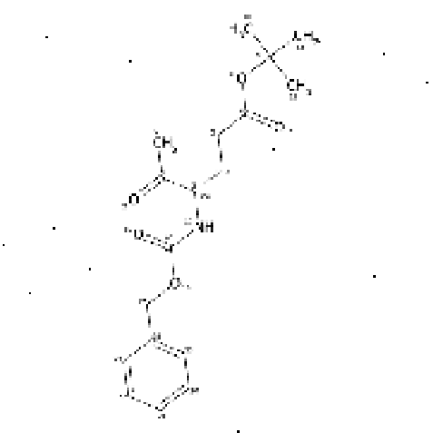 CC(=O)[C@H](CCC(=O)OC(C)(C)C)NC(=O)OCc1ccccc1